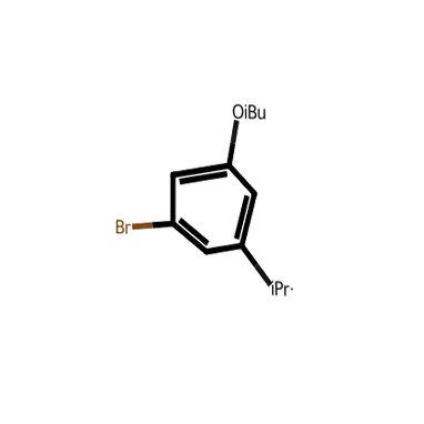 C[C](C)c1cc(Br)cc(OCC(C)C)c1